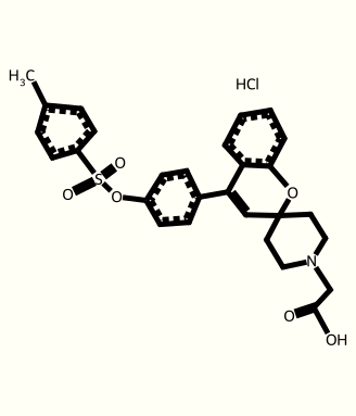 Cc1ccc(S(=O)(=O)Oc2ccc(C3=CC4(CCN(CC(=O)O)CC4)Oc4ccccc43)cc2)cc1.Cl